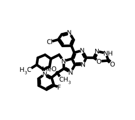 COC(C)(c1ncccc1F)c1nc2nc(-c3n[nH]c(=O)o3)nc(-c3cncc(Cl)c3)c2n1CC1CCC(C)CC1